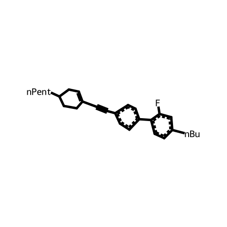 CCCCCC1CC=C(C#Cc2ccc(-c3ccc(CCCC)cc3F)cc2)CC1